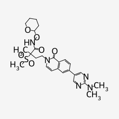 CN(C)c1ncc(-c2ccc3c(=O)n(CCC(C)(C(=O)NOC4CCCCO4)S(C)(=O)=O)ccc3c2)cn1